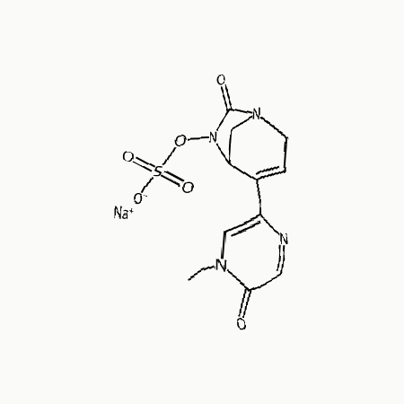 Cn1cc(C2=CCN3CC2N(OS(=O)(=O)[O-])C3=O)ncc1=O.[Na+]